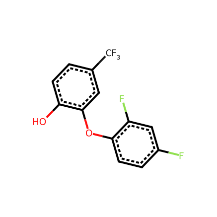 Oc1ccc(C(F)(F)F)cc1Oc1ccc(F)cc1F